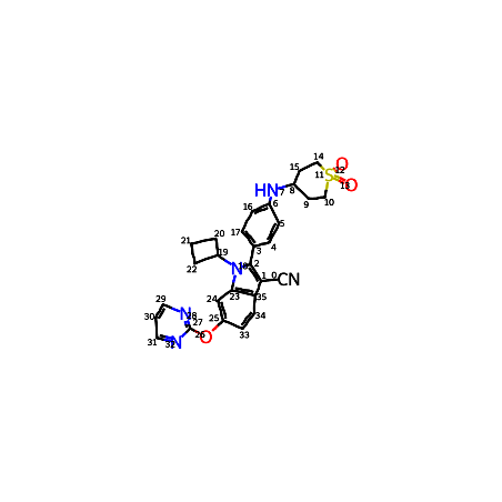 N#Cc1c(-c2ccc(NC3CCS(=O)(=O)CC3)cc2)n(C2CCC2)c2cc(Oc3ncccn3)ccc12